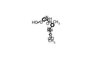 COC(=O)N1CC(n2nnc(-c3ccc(C)c(NC(=O)c4cnn5ccc(OCCO)cc45)c3)n2)C1